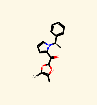 CC(=O)C1=C(C)OC(C(=O)c2cccn2[C@H](C)c2ccccc2)O1